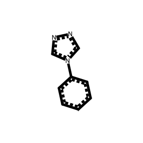 [c]1ccc(-n2cnnc2)cc1